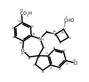 O=C[C@@H]1CC[C@H]1CN1CC2(CCc3cc(Cl)ccc32)COc2ccc(C(=O)O)cc21